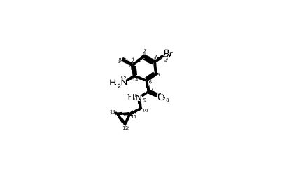 Cc1cc(Br)cc(C(=O)NCC2CC2)c1N